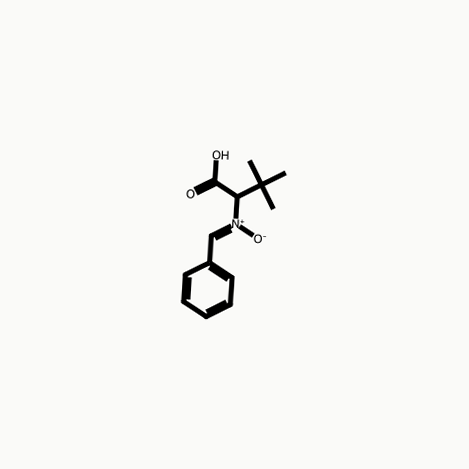 CC(C)(C)C(C(=O)O)[N+]([O-])=Cc1ccccc1